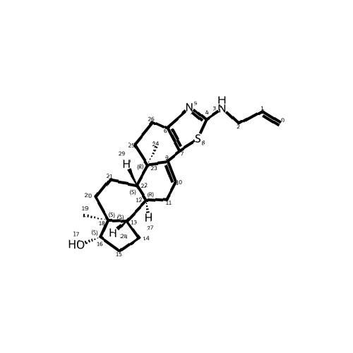 C=CCNc1nc2c(s1)C1=CC[C@H]3[C@@H]4CC[C@H](O)[C@@]4(C)CC[C@@H]3[C@@]1(C)CC2